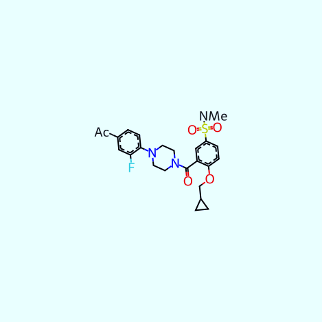 CNS(=O)(=O)c1ccc(OCC2CC2)c(C(=O)N2CCN(c3ccc(C(C)=O)cc3F)CC2)c1